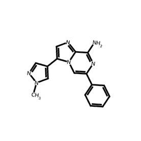 Cn1cc(-c2cnc3c(N)nc(-c4ccccc4)cn23)cn1